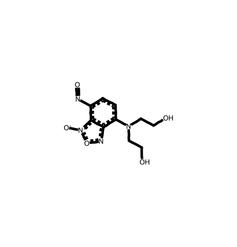 O=Nc1ccc(N(CCO)CCO)c2no[n+]([O-])c12